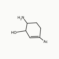 CC(=O)C1=CC(O)C(N)CC1